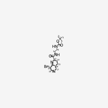 CC(C)(C)OC(=O)NCCNC(=O)c1ccc2cncc(Br)c2n1